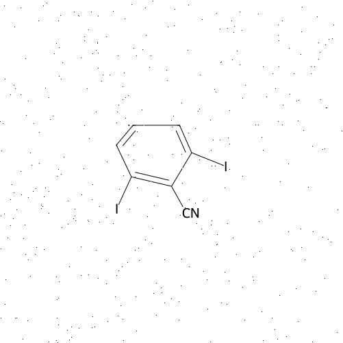 N#Cc1c(I)c[c]cc1I